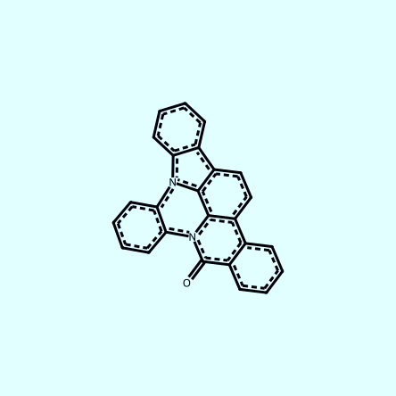 O=c1c2ccccc2c2ccc3c4ccccc4n4c5ccccc5n1c2c34